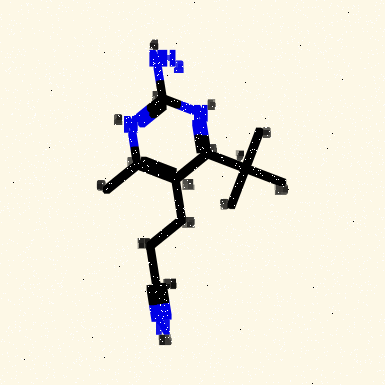 Cc1nc(N)nc(C(C)(C)C)c1CCC#N